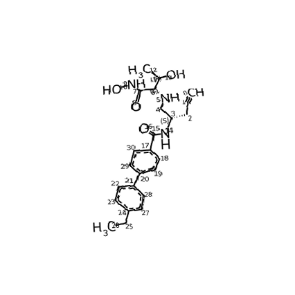 C#CC[C@@H](CN[C@H](C(=O)NO)[C@@H](C)O)NC(=O)c1ccc(-c2ccc(CC)cc2)cc1